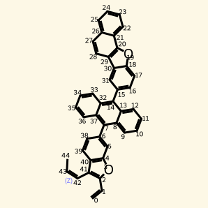 C=Cc1oc2cc(-c3c4ccccc4c(-c4ccc5oc6c7ccccc7ccc6c5c4)c4ccccc34)ccc2c1/C=C\C